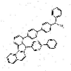 CN(c1ccccc1)c1ccc(-c2ccc(-c3cccc4c5c6ccccc6ccc5n(-c5ccc(-c6ccccc6)cc5)c34)cc2)cc1